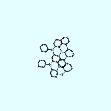 c1ccc(-c2cccc(-c3ccccc3)c2B2c3ccccc3N(c3ccccc3)c3cc4c(cc32)B2c3ccccc3Sc3cccc(c32)N4c2ccccc2)cc1